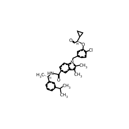 Cc1c(C)n(Cc2ccc(Cl)c(O[C@@H](C=O)C3CC3)c2)c2ccc(C(=O)N[C@@H](C)c3cccc(C(C)C)c3)cc12